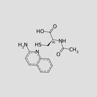 CC(=O)N[C@@H](CS)C(=O)O.Nc1ccc2ccccc2n1